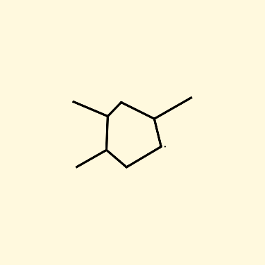 CC1[CH]CC(C)C(C)C1